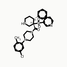 Cc1ccc(Cl)cc1N1CCN(C(=O)[C@@]2(S(=O)(=O)c3cccnc3)CNCC[C@@H]2c2ccccc2)CC1